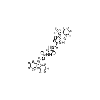 CC(C)(C)OC(=O)[C@H](Cc1ccccc1)NC(=O)CNC(=O)CNC(=O)OCC1c2ccccc2-c2ccccc21